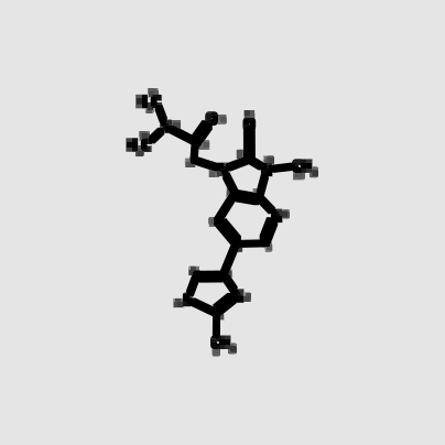 Cc1nc(-c2cnc3c(c2)n(CC(=O)N(C)C)c(=O)n3C)cs1